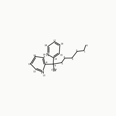 CCCCCCC(Br)(c1ccccn1)c1ccccn1